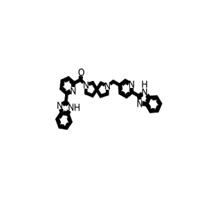 O=C(c1cccc(-c2nc3ccccc3[nH]2)n1)N1CCC2(CCN(Cc3ccc(-c4nc5ccccc5[nH]4)nc3)C2)C1